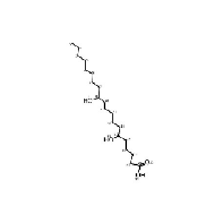 CCCCCCCCC(O)CCCCCC(O)CCCCC(=O)O